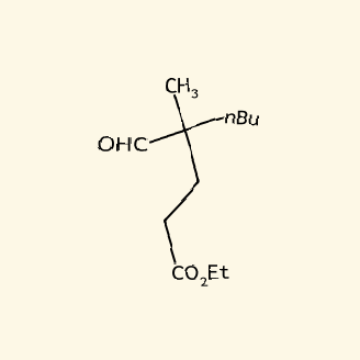 CCCCC(C)(C=O)CCC(=O)OCC